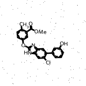 COC(=O)c1cc(Oc2nc3cc(-c4cccc(O)c4)c(Cl)cc3[nH]2)ccc1C